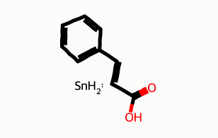 O=C(O)C=Cc1ccccc1.[SnH2]